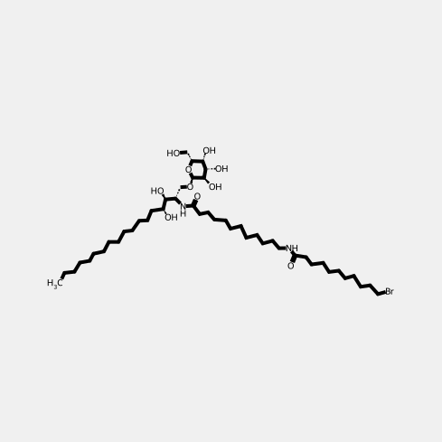 CCCCCCCCCCCCCC[C@@H](O)[C@@H](O)[C@H](CO[C@H]1O[C@H](CO)[C@H](O)[C@H](O)[C@H]1O)NC(=O)CCCCCCCCCCCNC(=O)CCCCCCCCCCBr